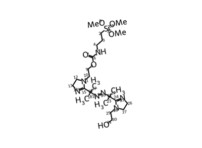 CO[Si](CCCNC(=O)OCCN1CCN=C1C(C)(C)N=NC(C)(C)C1=NCCN1CCO)(OC)OC